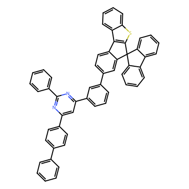 c1ccc(-c2ccc(-c3cc(-c4cccc(-c5ccc6c(c5)C5(c7ccccc7-c7ccccc75)c5sc7ccccc7c5-6)c4)nc(-c4ccccc4)n3)cc2)cc1